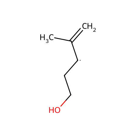 C=C(C)[CH]CCO